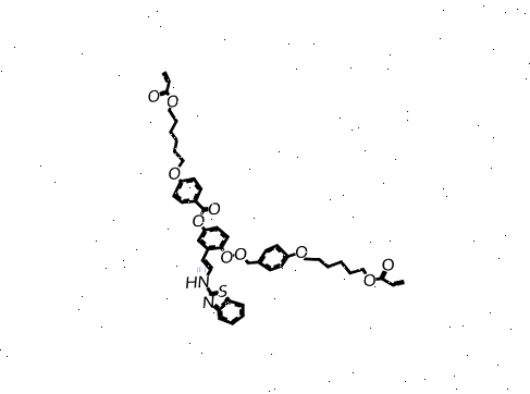 C=CC(=O)OCCCCCCOc1ccc(COOc2ccc(OC(=O)c3ccc(OCCCCCCOC(=O)C=C)cc3)cc2/C=C/Nc2nc3ccccc3s2)cc1